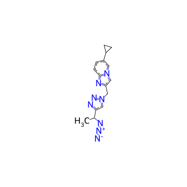 CC(N=[N+]=[N-])c1cn(Cc2cn3cc(C4CC4)ccc3n2)nn1